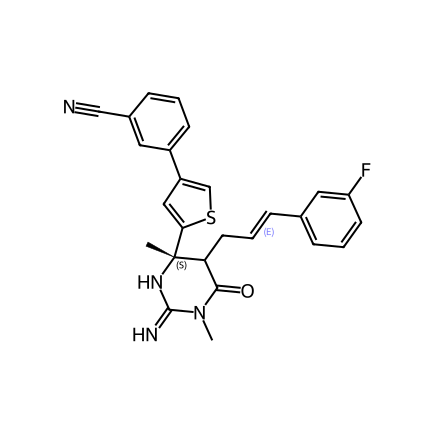 CN1C(=N)N[C@](C)(c2cc(-c3cccc(C#N)c3)cs2)C(C/C=C/c2cccc(F)c2)C1=O